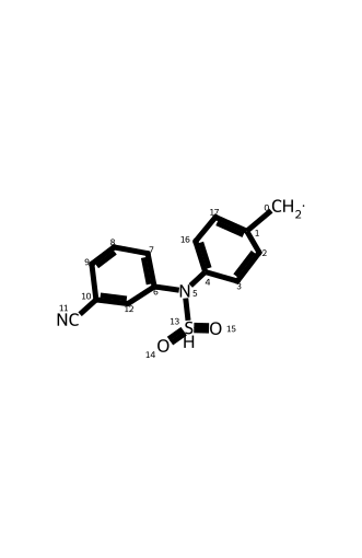 [CH2]c1ccc(N(c2cccc(C#N)c2)[SH](=O)=O)cc1